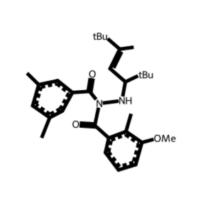 COc1cccc(C(=O)N(NC(C=C(C)C(C)(C)C)C(C)(C)C)C(=O)c2cc(C)cc(C)c2)c1C